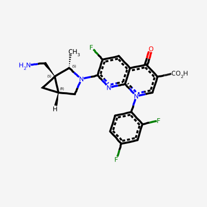 C[C@@H]1N(c2nc3c(cc2F)c(=O)c(C(=O)O)cn3-c2ccc(F)cc2F)C[C@@H]2C[C@@]21CN